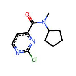 CN(C(=O)c1ccnc(Cl)n1)C1CCCC1